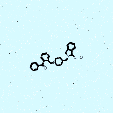 O=CC1c2ccccc2CN1CC1CCN(Cc2ccccc2C(=O)c2ccccc2)CC1